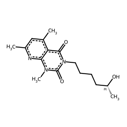 Cc1cc(C)c2c(=O)n(CCCC[C@@H](C)O)c(=O)n(C)c2n1